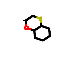 [CH]1CSC2CCCCC2O1